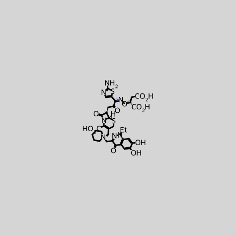 CCn1nc(C[N+]2(CC3=C(C(=O)O)N4C(=O)[C@@H](CC(=O)/C(=N\O[C@H](CC(=O)O)C(=O)O)c5cnc(N)s5)[C@H]4SC3)CCCCC2)c(=O)c2cc(O)c(O)cc21